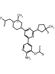 C[C@H]1CN(c2cc(-c3cnc(N)c(OC(F)F)c3)nc(N3CCC(C)(F)C3)n2)CCN1CC(F)F